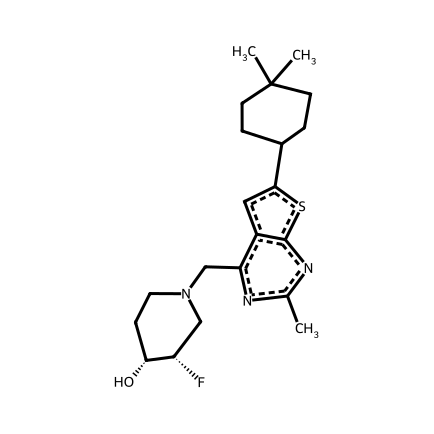 Cc1nc(CN2CC[C@@H](O)[C@@H](F)C2)c2cc(C3CCC(C)(C)CC3)sc2n1